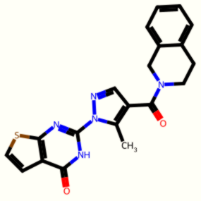 Cc1c(C(=O)N2CCc3ccccc3C2)cnn1-c1nc2sccc2c(=O)[nH]1